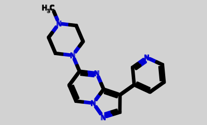 CN1CCN(c2ccn3ncc(-c4cccnc4)c3n2)CC1